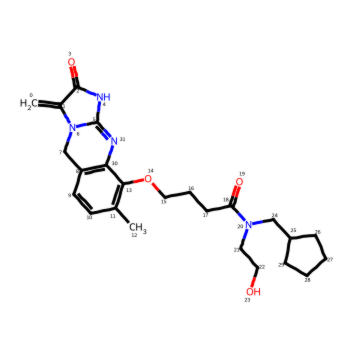 C=c1c(=O)[nH]c2n1Cc1ccc(C)c(OCCCC(=O)N(CCO)CC3CCCC3)c1N=2